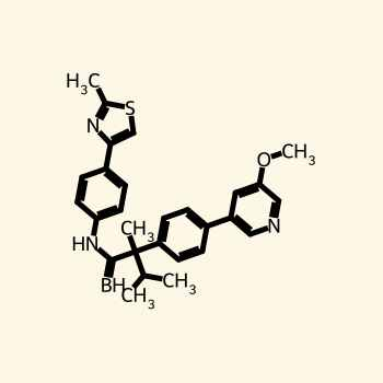 B=C(Nc1ccc(-c2csc(C)n2)cc1)C(C)(c1ccc(-c2cncc(OC)c2)cc1)C(C)C